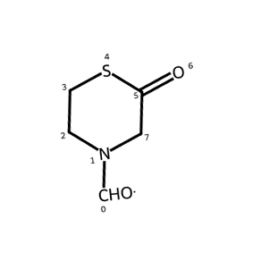 O=[C]N1CCSC(=O)C1